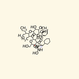 CCCC(C)C(OC1OC(C)C(O)C(OC)C1O)C(C)OC1OC(CO)C(O)C(O/C(=C\C2CCCCC2)C(=O)NO)C1OC(=O)c1ccccc1